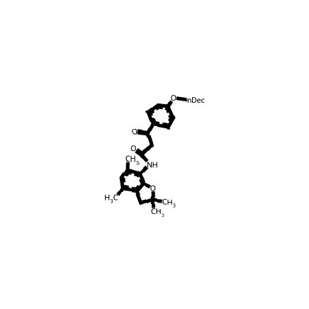 CCCCCCCCCCOc1ccc(C(=O)CC(=O)Nc2c(C)cc(C)c3c2OC(C)(C)C3)cc1